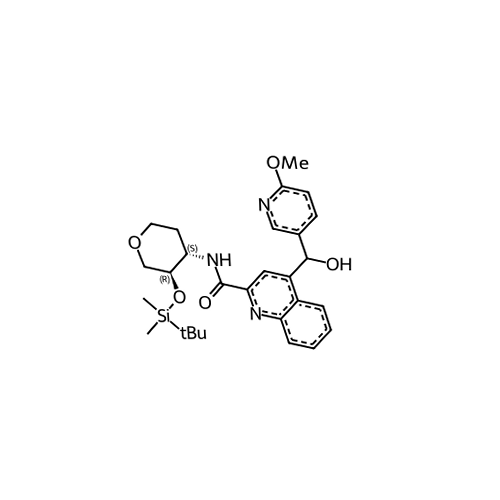 COc1ccc(C(O)c2cc(C(=O)N[C@H]3CCOC[C@@H]3O[Si](C)(C)C(C)(C)C)nc3ccccc23)cn1